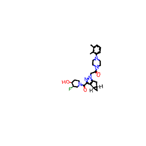 Cc1cccc(N2CCN(C(=O)Cn3nc(C(=O)N4CC[C@H](O)[C@H](F)C4)c4c3C[C@H]3C[C@@H]43)CC2)c1C